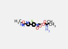 Cc1nnc(-c2ccc(-c3ccc(N4C[C@H](COC(=O)[C@@H](N)C(C)C)OC4=O)cc3F)cn2)o1